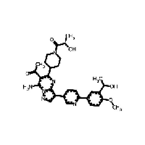 COc1ccc(-c2ccc(-c3cnn4c(N)c(C(C)=O)c(C5CCN(C(=O)[C@@H](C)O)CC5)nc34)cn2)cc1C(C)O